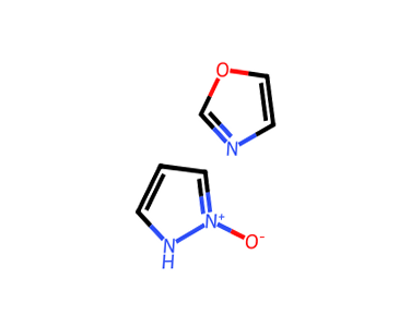 [O-][n+]1ccc[nH]1.c1cocn1